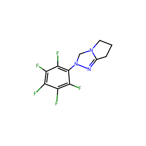 Fc1c(F)c(F)c(N2CN3CCCC3=N2)c(F)c1F